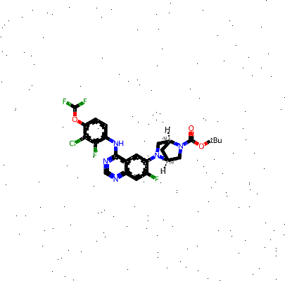 CC(C)(C)OC(=O)N1C[C@@H]2C[C@H]1CN2c1cc2c(Nc3ccc(OC(F)F)c(Cl)c3F)ncnc2cc1F